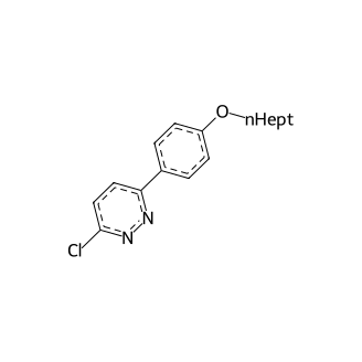 CCCCCCCOc1ccc(-c2ccc(Cl)nn2)cc1